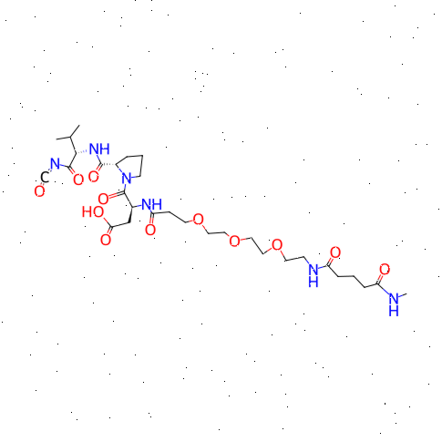 CNC(=O)CCCC(=O)NCCOCCOCCOCCC(=O)N[C@@H](CC(=O)O)C(=O)N1CCC[C@H]1C(=O)N[C@H](C(=O)N=C=O)C(C)C